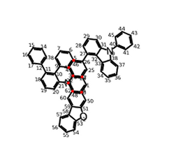 c1ccc(-c2ccccc2-c2c(-c3ccccc3)cccc2N(c2ccc(-c3cccc4c3c3ccccc3n4-c3ccccc3)cc2)c2ccc3oc4ccccc4c3c2)cc1